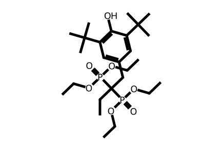 CCOP(=O)(OCC)C(CC)(Cc1cc(C(C)(C)C)c(O)c(C(C)(C)C)c1)P(=O)(OCC)OCC